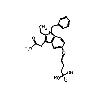 CCc1c(CC(N)=O)c2cc(OCCCP(=O)(O)O)ccc2n1Cc1ccccc1